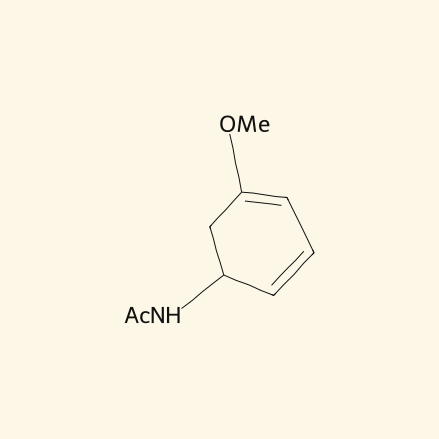 COC1=CC=CC(NC(C)=O)C1